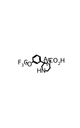 CC(=O)C1(c2cccc(OC(F)(F)F)c2)CNCCN1C(=O)O